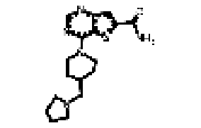 NC(=O)c1cc2ncnc(N3CCC(CN4CCCC4)CC3)c2s1